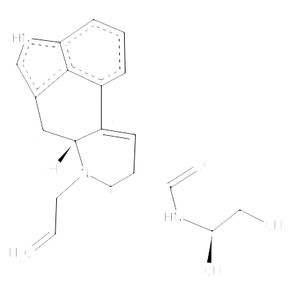 C=CCN1C[C@@H](C(=O)N[C@H](C)CC)C=C2c3cccc4[nH]cc(c34)C[C@H]21